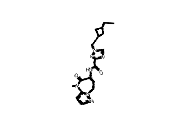 CCC1CC(Cn2cnc(C(=O)NC3CCn4nccc4N(C)C3=O)n2)C1